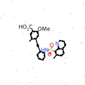 COc1cc(C#Cc2ccccc2NS(=O)(=O)c2c(C)ccc3cccnc23)c(C)cc1C(=O)O